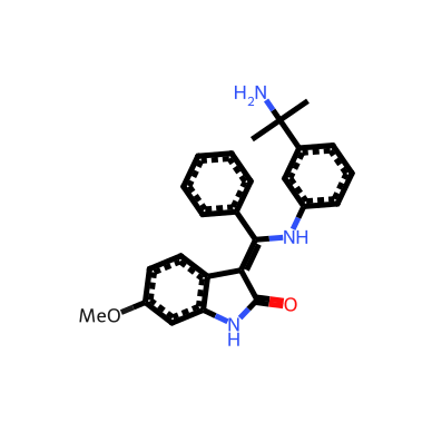 COc1ccc2c(c1)NC(=O)/C2=C(\Nc1cccc(C(C)(C)N)c1)c1ccccc1